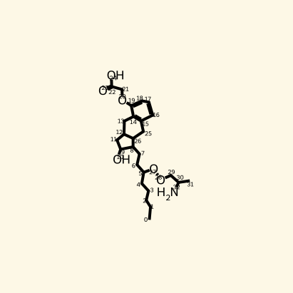 CCCCCC(CCC1C(O)CC2Cc3c(cccc3OCC(=O)O)CC21)OOCC(C)N